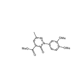 COC(=O)c1cc(C)nn(-c2ccc(OC)c(OC)c2)c1=O